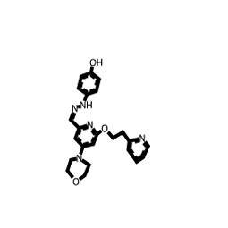 Oc1ccc(N/N=C\c2cc(N3CCOCC3)cc(OCCc3ccccn3)n2)cc1